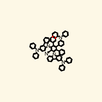 N#Cc1c(-n2c3ccccc3c3cc(N(c4ccccc4)c4ccccc4)ccc32)c(-c2ccccc2)c(-c2cccc(N(c3ccccc3)c3ccccc3)c2)c(-c2ccccc2)c1-n1c2ccccc2c2cc(N(c3ccccc3)c3ccccc3)ccc21